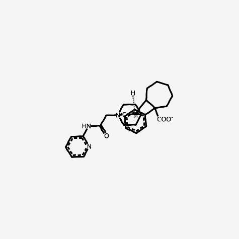 O=C(C[N+]12CCC(CC1)[C@H](C1CCCCCC1(C(=O)[O-])c1ccccc1)C2)Nc1ccccn1